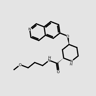 COCCCNC(=O)[C@@H]1C[C@@H](Oc2ccc3cnccc3c2)CCN1